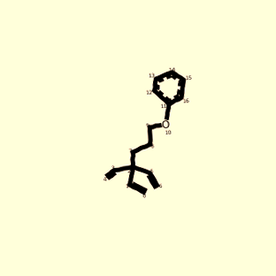 C=CC(C=C)(C=C)CCCOc1ccccc1